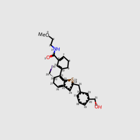 COCCNC(=O)C1=CCCC(C2=c3sc(Cc4cccc(CO)c4)cc3=CC[C@@H]2CI)=C1